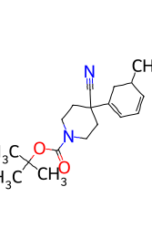 CC1C=CC=C(C2(C#N)CCN(C(=O)OC(C)(C)C)CC2)C1